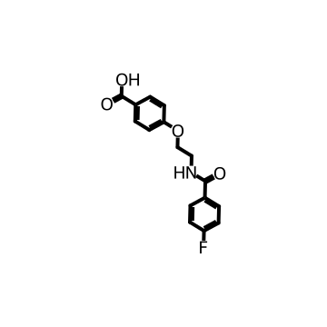 O=C(O)c1ccc(OCCNC(=O)c2ccc(F)cc2)cc1